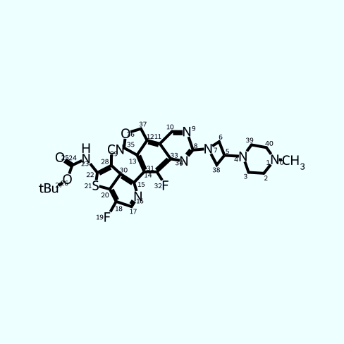 CN1CCN(C2CN(c3ncc4c5c(c(-c6ncc(F)c7sc(NC(=O)OC(C)(C)C)c(C#N)c67)c(F)c4n3)COC5)C2)CC1